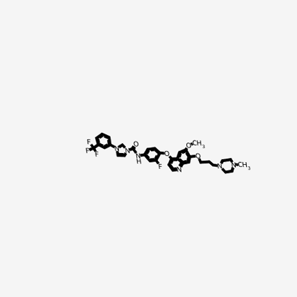 COc1cc2c(Oc3ccc(NC(=O)N4C=CN(c5cccc(C(F)(F)F)c5)C4)cc3F)ccnc2cc1OCCCN1CCN(C)CC1